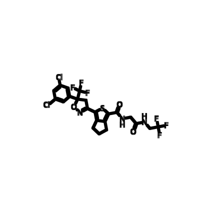 O=C(CNC(=O)c1sc(C2=NOC(c3cc(Cl)cc(Cl)c3)(C(F)(F)F)C2)c2c1CCC2)NCC(F)(F)F